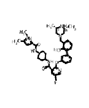 Cc1cc(C(=O)NC2CCC(NC(=O)c3cc(F)cnc3Oc3cccc(-c4cccc(CN5C[C@@H](C)N[C@@H](C)C5)c4O)c3)CC2)nn1C